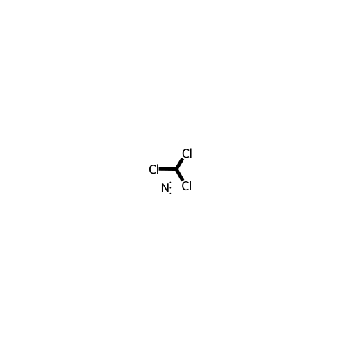 ClC(Cl)Cl.[N]